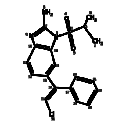 CC(C)S(=O)(=O)n1c(N)nc2ccc(/C(=C/Cl)c3ccccc3)cc21